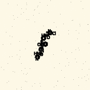 Cc1ncc(Cl)cc1C(=O)NC1CCC(Cn2c(=O)n(-c3ccc(C(=O)Nc4ccncc4)nc3)c3ccccc32)CC1